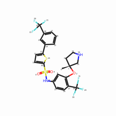 C[C@@]1(Oc2cc(NS(=O)(=O)c3ccc(-c4cccc(C(F)(F)F)c4)s3)ccc2C(F)(F)F)CCNC1